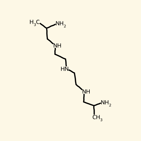 CC(N)CNCCNCCNCC(C)N